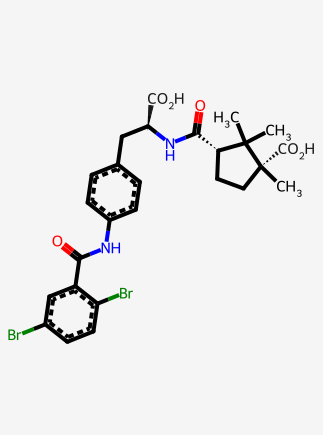 CC1(C)[C@@H](C(=O)N[C@@H](Cc2ccc(NC(=O)c3cc(Br)ccc3Br)cc2)C(=O)O)CC[C@@]1(C)C(=O)O